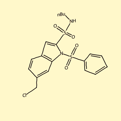 CCCCNS(=O)(=O)c1cc2ccc(CCl)cc2n1S(=O)(=O)c1ccccc1